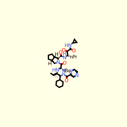 C/C=C(\N[C@H](C(=O)N1C[C@@H]2CCC[C@@H]2[C@H]1C(=O)N[C@@H](CCC)C(=O)C(=O)NC1CC1)C(C)(C)C)[C@@H](NC(=O)c1cnccn1)C1CCCCC1